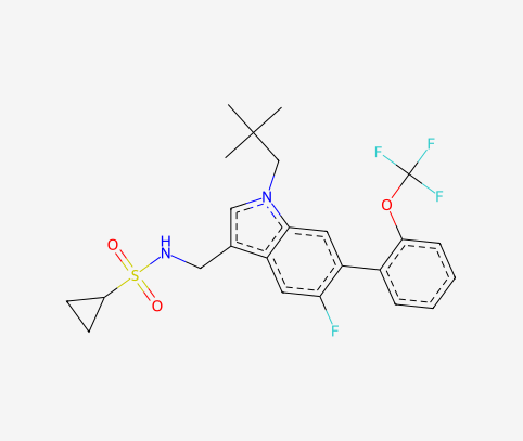 CC(C)(C)Cn1cc(CNS(=O)(=O)C2CC2)c2cc(F)c(-c3ccccc3OC(F)(F)F)cc21